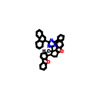 CC1(c2nc(-c3ccccc3)nc(-c3cc4ccccc4c4ccccc34)n2)c2c(oc3ccccc23)C=CC1c1cccc2c1oc1ccccc12